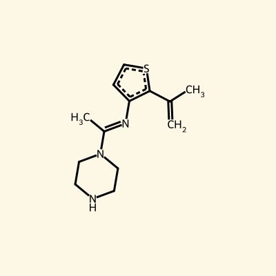 C=C(C)c1sccc1/N=C(\C)N1CCNCC1